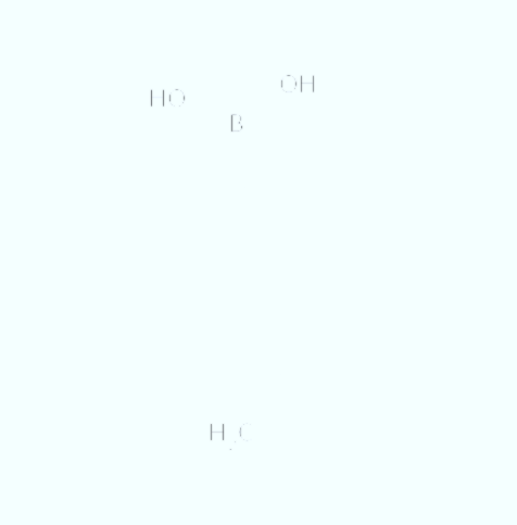 C=C1CCc2cc(B(O)O)ccc21